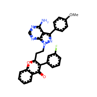 COc1ccc(-c2nn(CCc3oc4ccccc4c(=O)c3-c3cccc(F)c3)c3ncnc(N)c23)cc1